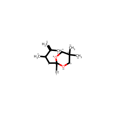 C=C(C)C(C)CC1(CC)OCC(C)(C)CO1